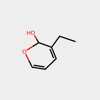 [CH2]CC1=CC=COC1O